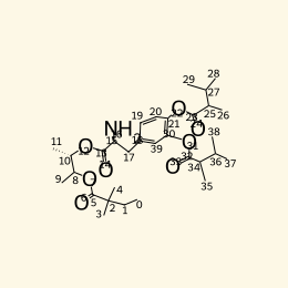 CCC(C)(C)C(=O)OC(C)[C@H](C)OC(=O)[C@@H](N)Cc1ccc(OC(=O)C(C)C(C)C)c(OC(=O)C(C)C(C)C)c1